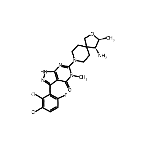 C[C@@H]1OCC2(CCN(c3nc4[nH]nc(-c5c(F)ccc(Cl)c5Cl)c4c(=O)n3C)CC2)[C@@H]1N